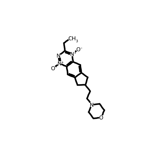 CCc1n[n+]([O-])c2cc3c(cc2[n+]1[O-])CC(CCN1CCOCC1)C3